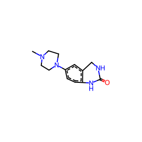 CN1CCN(c2ccc3c(c2)CNC(=O)N3)CC1